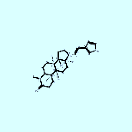 CN1C(=O)CC[C@@]2(C)C1CC[C@H]1[C@@H]3CC[C@H](/C=C/c4ccsc4)[C@@]3(C)CC[C@@H]12